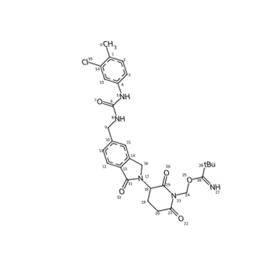 Cc1ccc(NC(=O)NCc2ccc3c(c2)CN(C2CCC(=O)N(COC(=N)C(C)(C)C)C2=O)C3=O)cc1Cl